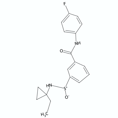 CCC1(N[S+]([O-])c2cccc(C(=O)Nc3ccc(F)cc3)c2)CC1